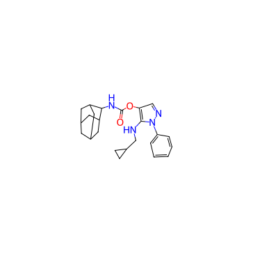 O=C(NC1C2CC3CC(C2)CC1C3)Oc1cnn(-c2ccccc2)c1NCC1CC1